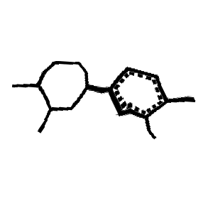 Cc1[c]c(C2CCC(C)C(C)C2)ccc1C